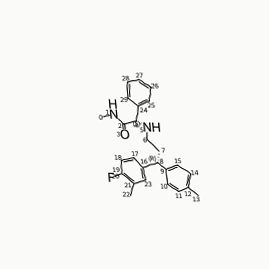 CNC(=O)[C@@H](NCC[C@H](c1ccc(C)cc1)c1ccc(F)c(C)c1)c1ccccc1